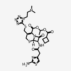 CC(OC(=O)C1=C(CSc2nnnn2CCN(C)C)CS[C@H]2[C@H](NC(=O)Cc3csc(N)n3)C(=O)N12)OC(=O)C1CCC1